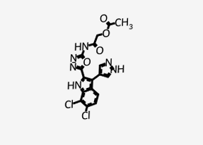 CC(=O)OCC(=O)Nc1nnc(-c2[nH]c3c(Cl)c(Cl)ccc3c2-c2cn[nH]c2)o1